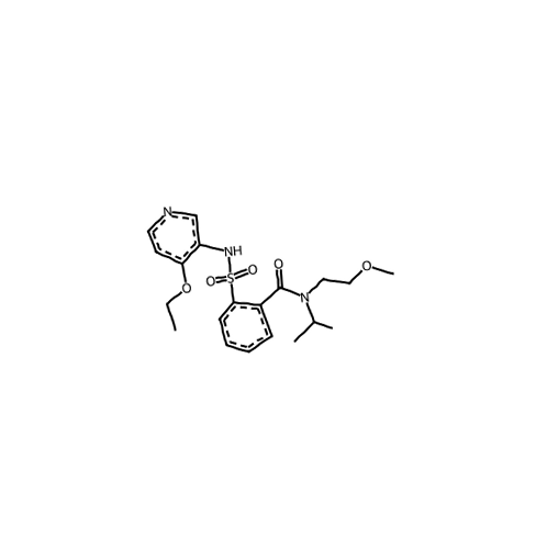 CCOc1ccncc1NS(=O)(=O)c1ccccc1C(=O)N(CCOC)C(C)C